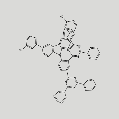 N#Cc1cccc(-c2ccc3c(c2)c2cc(-c4cccc(C#N)c4)ccc2n3-c2ccc(-c3nc(-c4ccccc4)cc(-c4ccccc4)n3)cc2-c2nc(-c3ccccc3)nc(-c3ccccc3)n2)c1